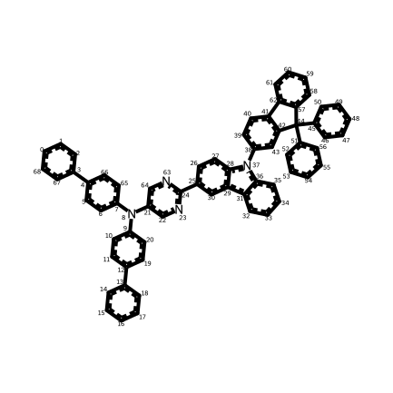 c1ccc(-c2ccc(N(c3ccc(-c4ccccc4)cc3)c3cnc(-c4ccc5c(c4)c4ccccc4n5-c4ccc5c(c4)C(c4ccccc4)(c4ccccc4)c4ccccc4-5)nc3)cc2)cc1